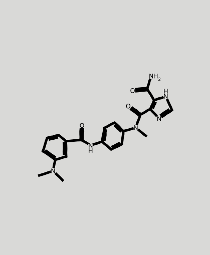 CN(C)c1cccc(C(=O)Nc2ccc(N(C)C(=O)c3nc[nH]c3C(N)=O)cc2)c1